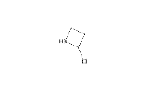 ClC1BCC1